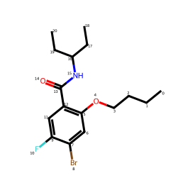 CCCCOc1cc(Br)c(F)cc1C(=O)NC(CC)CC